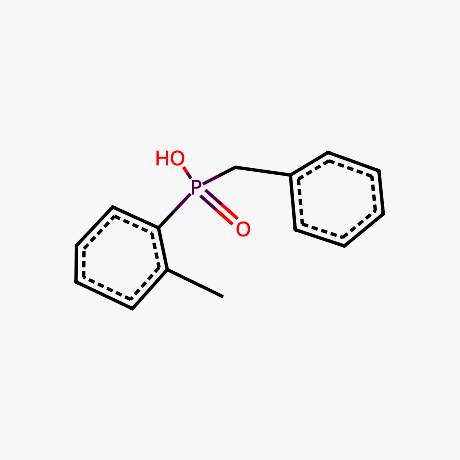 Cc1ccccc1P(=O)(O)Cc1ccccc1